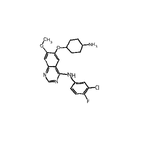 COc1cc2ncnc(Nc3ccc(F)c(Cl)c3)c2cc1OC1CCC(N)CC1